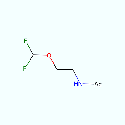 CC(=O)NCCOC(F)F